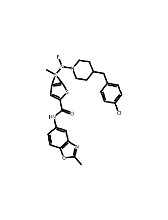 Cc1nc2cc(NC(=O)c3cc4c(s3)S4(C)N(F)N3CCC(Cc4ccc(Cl)cc4)CC3)ccc2o1